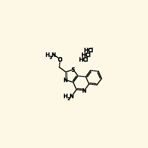 Cl.Cl.Cl.NOCc1nc2c(N)nc3ccccc3c2s1